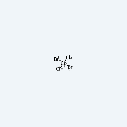 [Cl][Co]([Cl])([Br])[Br]